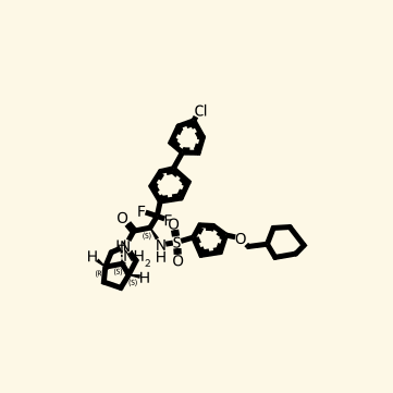 N[C@@H]1[C@@H]2CC[C@H]1CN(C(=O)[C@H](NS(=O)(=O)c1ccc(OCC3CCCCC3)cc1)C(F)(F)c1ccc(-c3ccc(Cl)cc3)cc1)C2